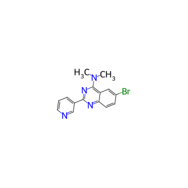 CN(C)c1nc(-c2cccnc2)nc2ccc(Br)cc12